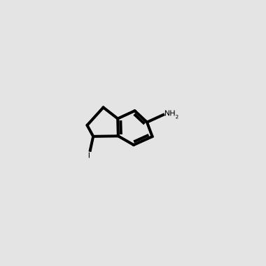 Nc1ccc2c(c1)CCC2I